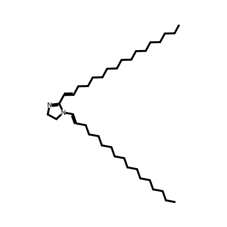 CCCCCCCCCCCCCCC/C=C/C1=NCCN1/C=C/CCCCCCCCCCCCCCC